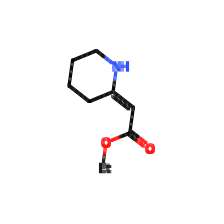 CCOC(=O)C=C1CCCCN1